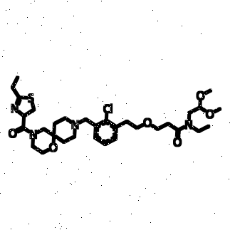 CCC1=NC(C(=O)N2CCOC3(CCN(Cc4cccc(CCOCCC(=O)N(CC)CC(OC)OC)c4Cl)CC3)C2)CS1